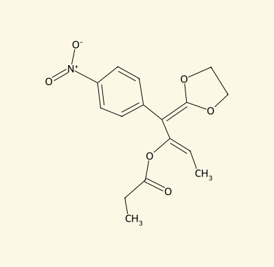 CC=C(OC(=O)CC)C(=C1OCCO1)c1ccc([N+](=O)[O-])cc1